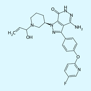 C=CC(O)N1CCC[C@@H](n2nc(-c3ccc(Oc4ccc(F)cn4)cc3)c3c(N)n[nH]c(=O)c32)C1